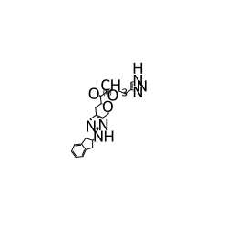 C[C@@H](OCCc1c[nH]nn1)C(=O)C1Cc2cnc(NC3Cc4ccccc4C3)nc2CO1